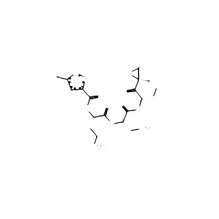 COCC[C@H](NC(=O)c1cc(C)on1)C(=O)N[C@@H](COC)C(=O)N[C@@H](CC(C)C)C(=O)[C@@]1(C)CO1